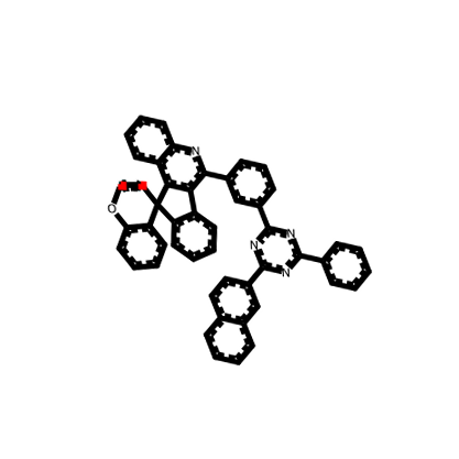 c1ccc(-c2nc(-c3cccc(-c4nc5ccccc5c5c4-c4ccccc4C54c5ccccc5Oc5ccccc54)c3)nc(-c3ccc4ccccc4c3)n2)cc1